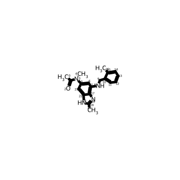 CC(=O)N(C)c1cc(NCc2ccccc2C)c2nc(C)[nH]c2c1